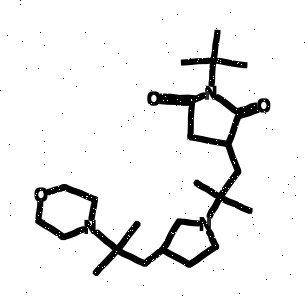 CC(C)(C)N1C(=O)CC(CC(C)(C)N2CCC(CC(C)(C)N3CCOCC3)C2)C1=O